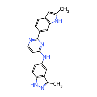 Cc1cc2ccc(-c3nccc(Nc4ccc5[nH]nc(C)c5c4)n3)cc2[nH]1